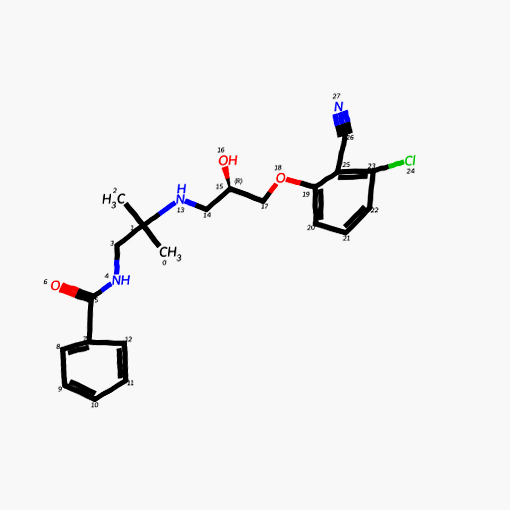 CC(C)(CNC(=O)c1ccccc1)NC[C@@H](O)COc1cccc(Cl)c1C#N